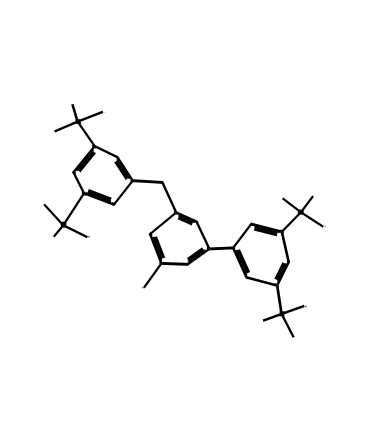 FC(F)(F)c1cc(Cc2cc(Cl)cc(-c3cc(C(F)(F)F)cc(C(F)(F)F)c3)c2)cc(C(F)(F)F)c1